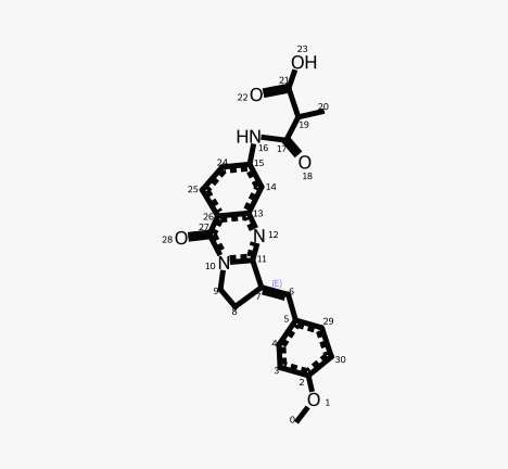 COc1ccc(/C=C2\CCn3c2nc2cc(NC(=O)C(C)C(=O)O)ccc2c3=O)cc1